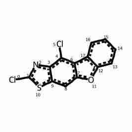 Clc1nc2c(Cl)c3c(cc2s1)oc1ccccc13